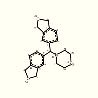 c1cc2c(cc1C(c1ccc3c(c1)COC3)N1CCNCC1)COC2